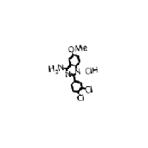 COc1ccc2nc(-c3ccc(Cl)c(Cl)c3)nc(N)c2c1.Cl